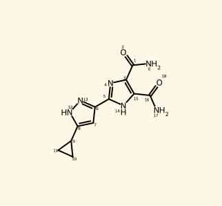 NC(=O)c1nc(-c2cc(C3CC3)[nH]n2)[nH]c1C(N)=O